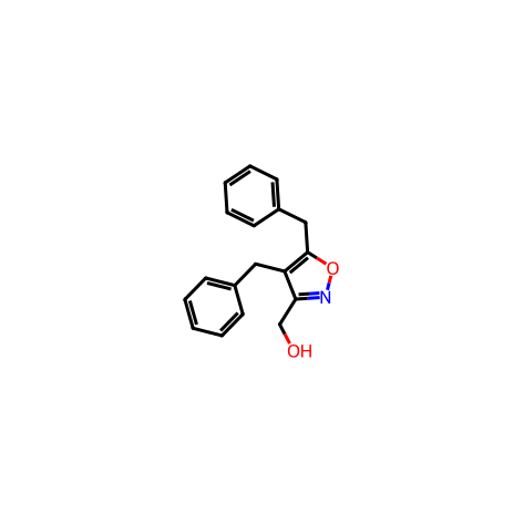 OCc1noc(Cc2ccccc2)c1Cc1ccccc1